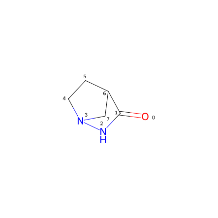 O=C1NN2CCC1C2